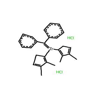 CC1=CC[C]([Zr]([C]2=C(C)C(C)=CC2)=[C](c2ccccc2)c2ccccc2)=C1C.Cl.Cl